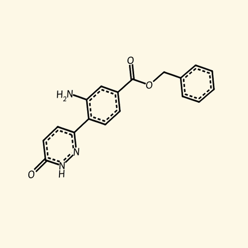 Nc1cc(C(=O)OCc2ccccc2)ccc1-c1ccc(=O)[nH]n1